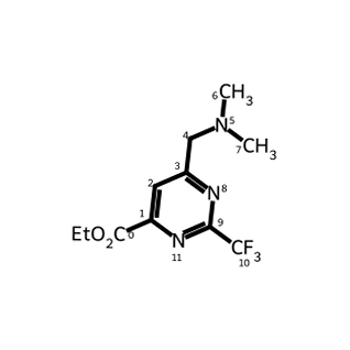 CCOC(=O)c1cc(CN(C)C)nc(C(F)(F)F)n1